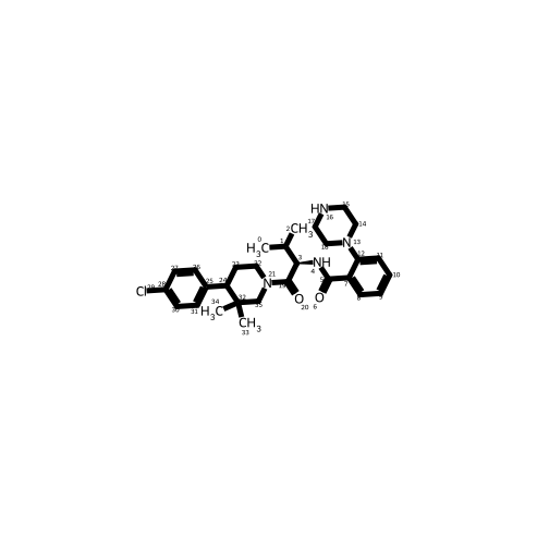 CC(C)[C@@H](NC(=O)c1ccccc1N1CCNCC1)C(=O)N1CCC(c2ccc(Cl)cc2)C(C)(C)C1